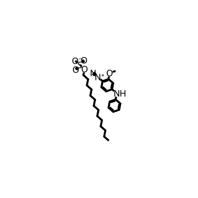 CCCCCCCCCCCCCCOS(=O)(=O)[O-].COc1cc(Nc2ccccc2)ccc1[N+]#N